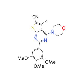 COc1cc(-c2nc(N3CCOCC3)c3c(C)c(C#N)sc3n2)cc(OC)c1OC